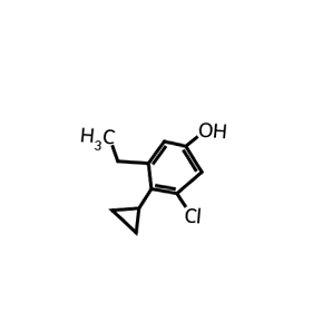 CCc1cc(O)cc(Cl)c1C1CC1